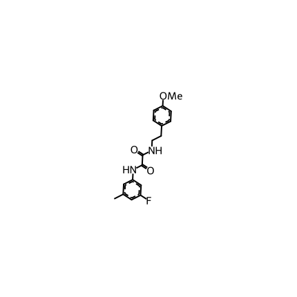 COc1ccc(CCNC(=O)C(=O)Nc2cc(C)cc(F)c2)cc1